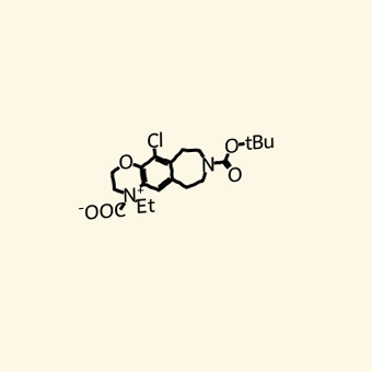 CC[N+]1(C(=O)[O-])CCOc2c1cc1c(c2Cl)CCN(C(=O)OC(C)(C)C)CC1